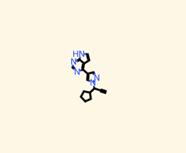 C#CC(C1CCCC1)n1cc(-c2ncnc3[nH]ccc23)cn1